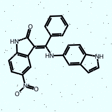 O=C1Nc2ccc([N+](=O)[O-])cc2C1=C(Nc1ccc2[nH]ccc2c1)c1ccccc1